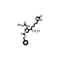 CCOC(=O)C(CCCCc1noc(=O)[nH]1)C1CN(C(=O)OCc2ccccc2)CC1NC(=O)OC(C)(C)C